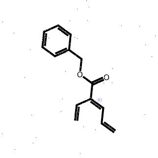 C=C/C=C(\C=C)C(=O)OCc1ccccc1